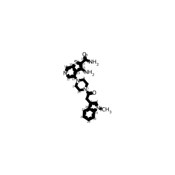 Cn1cc(CC(=O)N2CCN(c3cncc4sc(C(N)=O)c(N)c34)CC2)c2ccccc21